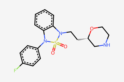 O=S1(=O)N(CC[C@H]2CNCCO2)c2ccccc2N1c1ccc(F)cc1